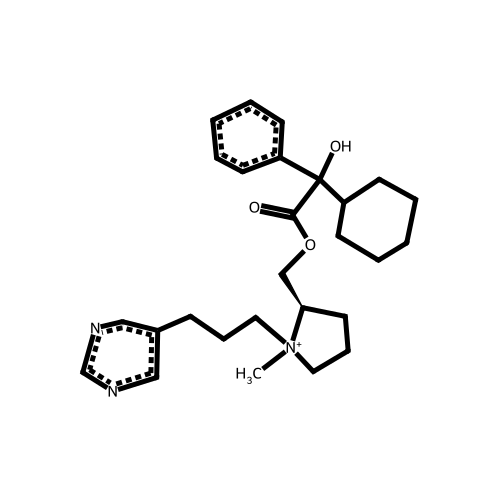 C[N+]1(CCCc2cncnc2)CCC[C@@H]1COC(=O)C(O)(c1ccccc1)C1CCCCC1